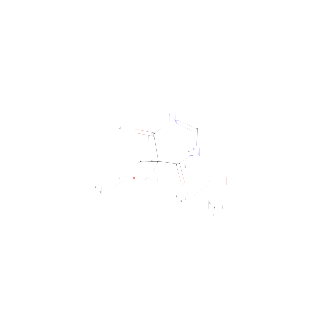 CCCC(C)C1(CC)C(=O)N=C([O-])NC1=O.N#CO.N#CO.[Na+]